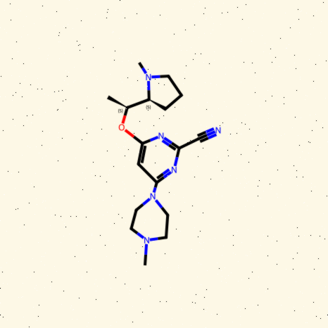 C[C@H](Oc1cc(N2CCN(C)CC2)nc(C#N)n1)[C@@H]1CCCN1C